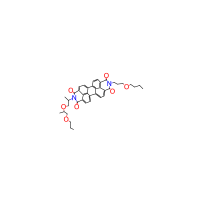 CCCCOCCCN1C(=O)c2ccc3c4ccc5c6c(ccc(c7ccc(c2c37)C1=O)c64)C(=O)N(C(C)COC(C)COCCC)C5=O